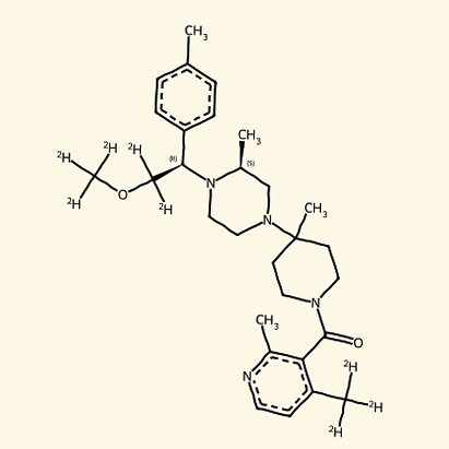 [2H]C([2H])([2H])OC([2H])([2H])[C@@H](c1ccc(C)cc1)N1CCN(C2(C)CCN(C(=O)c3c(C([2H])([2H])[2H])ccnc3C)CC2)C[C@@H]1C